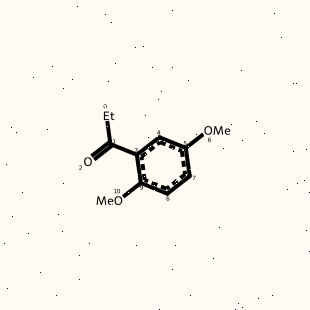 CCC(=O)c1cc(OC)ccc1OC